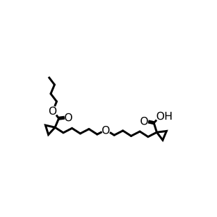 CCCCOC(=O)C1(CCCCCOCCCCCC2(C(=O)O)CC2)CC1